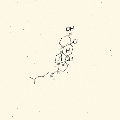 CC(C)CCC[C@@H](C)[C@H]1CC[C@H]2[C@@H]3CCC4(Cl)C[C@@H](O)CC[C@]4(C)[C@H]3CC[C@]12C